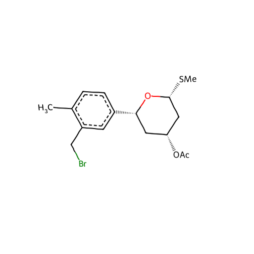 CS[C@@H]1C[C@H](OC(C)=O)C[C@H](c2ccc(C)c(CBr)c2)O1